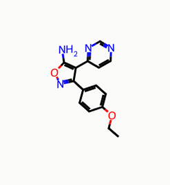 CCOc1ccc(-c2noc(N)c2-c2ccncn2)cc1